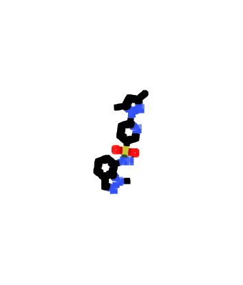 Cc1cc(C)n(-c2ccc(S(=O)(=O)Nc3cccc4cnn(C)c34)cn2)n1